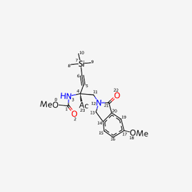 COC(=O)N[C@](C#C[Si](C)(C)C)(CN1Cc2ccc(OC)cc2C1=O)C(C)=O